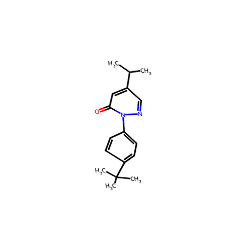 CC(C)c1cnn(-c2ccc(C(C)(C)C)cc2)c(=O)c1